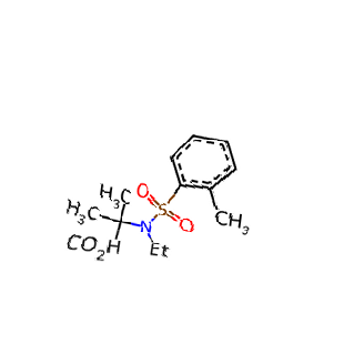 CCN(C(C)(C)C(=O)O)S(=O)(=O)c1ccccc1C